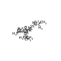 CC(C)Cc1cnc(/C=C/c2cnc(NC(=O)C(Cc3cn(C)cn3)NC(=O)COC(C)(C)C)s2)o1